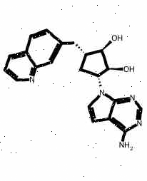 Nc1ncnc2c1ccn2[C@@H]1C[C@H](Cc2ccc3cccnc3c2)[C@@H](O)[C@H]1O